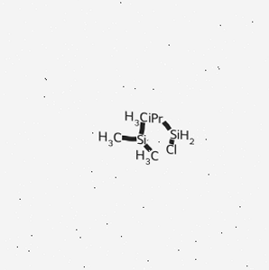 CC(C)[SiH2]Cl.C[Si](C)C